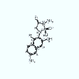 Nc1ccc2c(F)c(N3CC(=O)N(N)S3(=O)=O)c(O)cc2c1